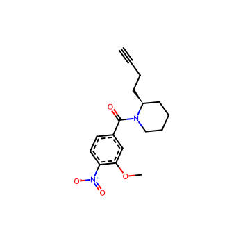 C#CCC[C@H]1CCCCN1C(=O)c1ccc([N+](=O)[O-])c(OC)c1